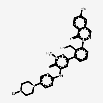 CCN1CCN(c2ccc(Nc3cc(-c4cccc(-n5ncc6cc(C(C)(C)C)ccc6c5=O)c4CO)nn(C)c3=O)nc2)CC1